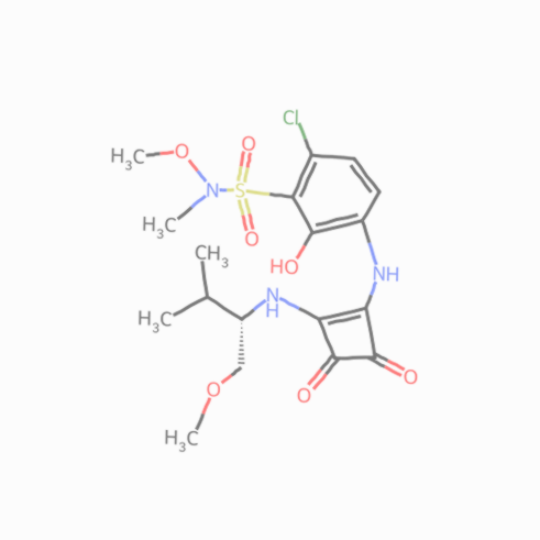 COC[C@@H](Nc1c(Nc2ccc(Cl)c(S(=O)(=O)N(C)OC)c2O)c(=O)c1=O)C(C)C